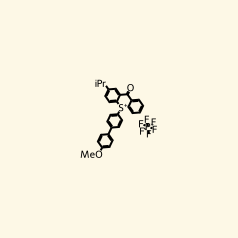 COc1ccc(-c2ccc(-[s+]3c4ccccc4c(=O)c4cc(C(C)C)ccc43)cc2)cc1.F[P-](F)(F)(F)(F)F